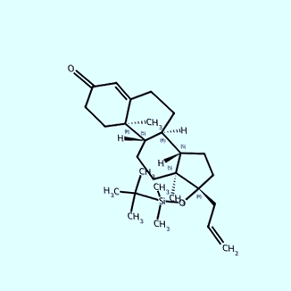 C=CC[C@]1(O[Si](C)(C)C(C)(C)C)CC[C@H]2[C@@H]3CCC4=CC(=O)CC[C@]4(C)[C@H]3CC[C@@]21C